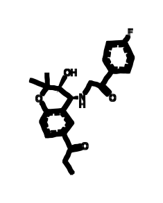 CCC(=O)c1ccc2c(c1)[C@@H](NCC(=O)c1ccc(F)cc1)[C@H](O)C(C)(C)O2